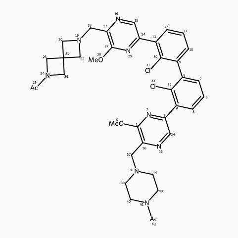 COc1nc(-c2cccc(-c3cccc(-c4cnc(CN5CC6(C5)CN(C(C)=O)C6)c(OC)n4)c3Cl)c2Cl)cnc1CN1CCN(C(C)=O)CC1